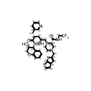 O=C(N[C@H]1c2ccccc2OCC1O)[C@H](Cc1cccnc1)C[C@H](O)CN1CCN(Cc2cc3ccsc3s2)C[C@H]1C(=O)NCC(F)(F)F